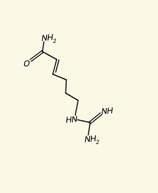 N=C(N)NCCC/C=C/C(N)=O